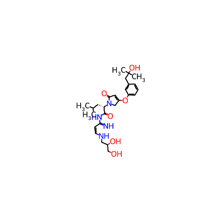 CC(C)C[C@@H](C(=O)NC(=N)/C=C\NC[C@@H](O)CO)N1CC(Oc2cccc(CC(C)(C)O)c2)=CC1=O